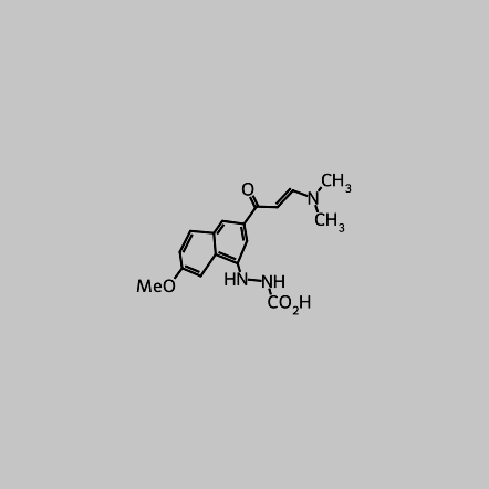 COc1ccc2cc(C(=O)C=CN(C)C)cc(NNC(=O)O)c2c1